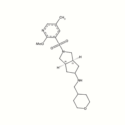 COc1ncc(C)cc1S(=O)(=O)N1C[C@H]2CC(NCC3CCOCC3)C[C@H]2C1